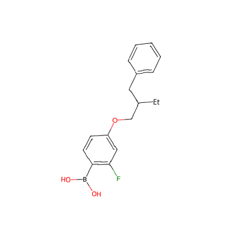 CCC(COc1ccc(B(O)O)c(F)c1)Cc1ccccc1